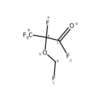 O=C(F)C(F)(OCF)C(F)(F)F